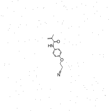 C=C(C)C(=O)Nc1ccc(OCCC#N)cc1